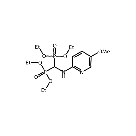 CCOP(=O)(OCC)C(Nc1ccc(OC)cn1)P(=O)(OCC)OCC